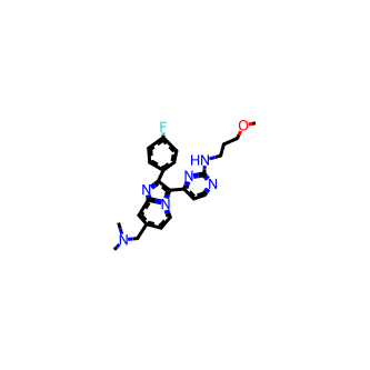 COCCCNc1nccc(-c2c(-c3ccc(F)cc3)nc3cc(CN(C)C)ccn23)n1